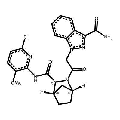 COc1ccc(Cl)nc1NC(=O)[C@@H]1[C@H]2CC[C@H](C2)N1C(=O)Cn1nc(C(N)=O)c2ccccc21